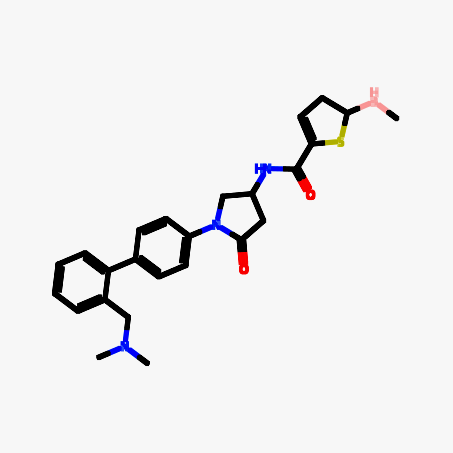 CBC1CC=C(C(=O)NC2CC(=O)N(c3ccc(-c4ccccc4CN(C)C)cc3)C2)S1